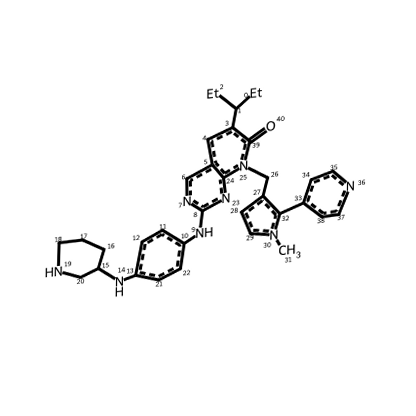 CCC(CC)c1cc2cnc(Nc3ccc(NC4CCCNC4)cc3)nc2n(Cc2ccn(C)c2-c2ccncc2)c1=O